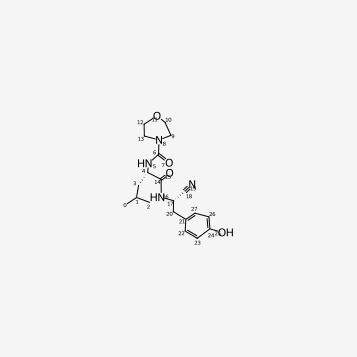 CC(C)C[C@H](NC(=O)N1CCOCC1)C(=O)N[C@H](C#N)Cc1ccc(O)cc1